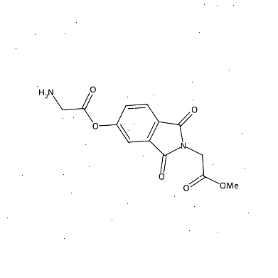 COC(=O)CN1C(=O)c2ccc(OC(=O)CN)cc2C1=O